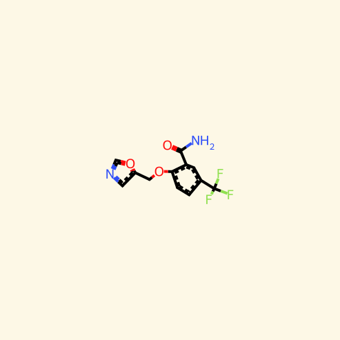 NC(=O)c1cc(C(F)(F)F)ccc1OCc1cnco1